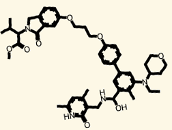 CCN(c1cc(-c2ccc(OCCCOc3ccc4c(c3)C(=O)N(C(C(=O)OC)C(C)C)C4)cc2)cc(C(O)NCc2c(C)cc(C)[nH]c2=O)c1C)C1CCOCC1